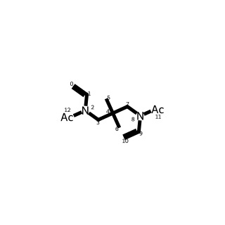 C=CN(CC(C)(C)CN(C=C)C(C)=O)C(C)=O